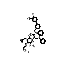 CCCC[C@H](C(N)=O)[C@@H](CC1CC1)C(=O)NC1CN(c2ccccc2)c2ccccc2N(Cc2cccc(-c3ccc(F)c(Cl)c3)c2)C1=O